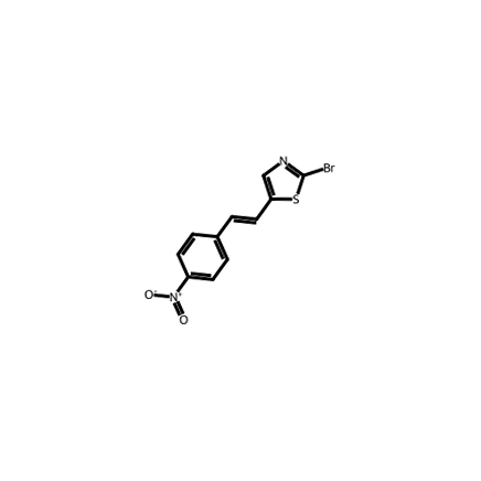 O=[N+]([O-])c1ccc(/C=C/c2cnc(Br)s2)cc1